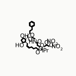 CC(C)OC(=O)CCC/C=C\C[C@@H]1[C@@H](CC[C@H](CCc2ccccc2)OC(=O)CNC(=O)CCOCC(CO[N+](=O)[O-])O[N+](=O)[O-])[C@H](O)C[C@@H]1O